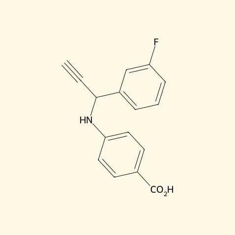 C#CC(Nc1ccc(C(=O)O)cc1)c1cccc(F)c1